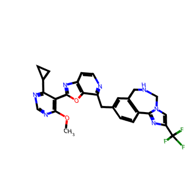 COc1ncnc(C2CC2)c1-c1nc2ccnc(Cc3ccc4c(c3)CNCn3cc(C(F)(F)F)nc3-4)c2o1